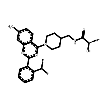 Cc1ccc2c(N3CCC(CNC(=O)[C@H](O)C(C)C)CC3)nc(-c3ccccc3C(F)F)nc2c1